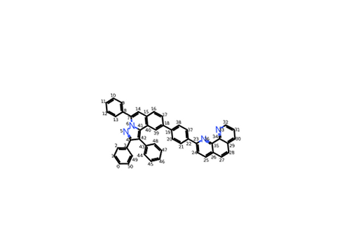 c1ccc(-c2nn3c(-c4ccccc4)cc4ccc(-c5ccc(-c6ccc7ccc8cccnc8c7n6)cc5)cc4c3c2-c2ccccc2)cc1